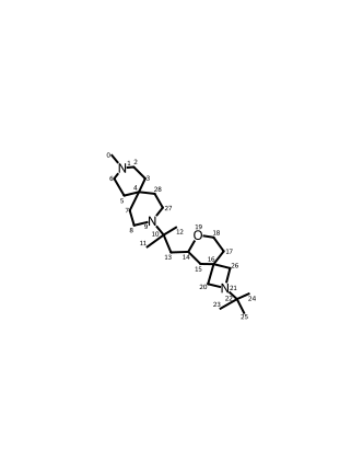 CN1CCC2(CC1)CCN(C(C)(C)CC1CC3(CCO1)CN(C(C)(C)C)C3)CC2